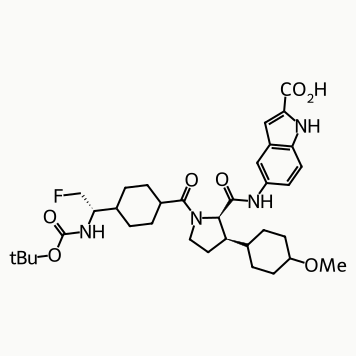 COC1CCC([C@H]2CCN(C(=O)C3CCC([C@@H](CF)NC(=O)OC(C)(C)C)CC3)[C@H]2C(=O)Nc2ccc3[nH]c(C(=O)O)cc3c2)CC1